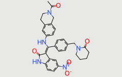 CC(=O)N1CCc2cc(NC(=C3C(=O)Nc4ccc([N+](=O)[O-])cc43)c3ccc(CN4CCCCC4=O)cc3)ccc2C1